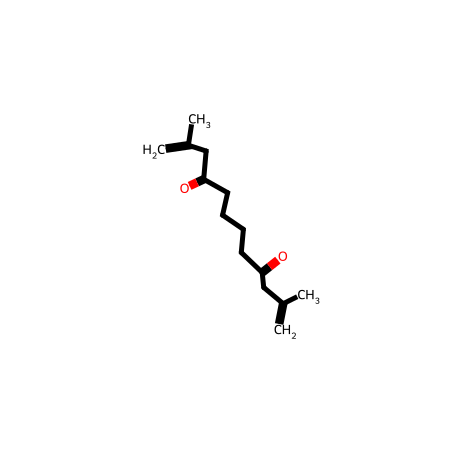 C=C(C)CC(=O)CCCCC(=O)CC(=C)C